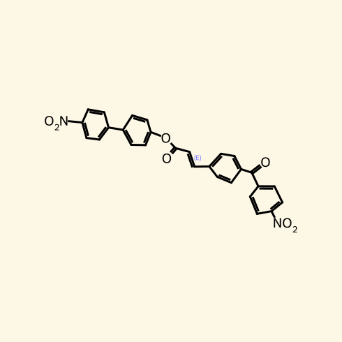 O=C(/C=C/c1ccc(C(=O)c2ccc([N+](=O)[O-])cc2)cc1)Oc1ccc(-c2ccc([N+](=O)[O-])cc2)cc1